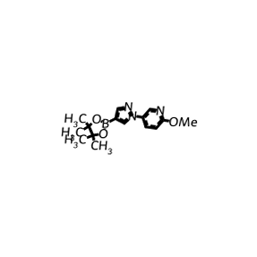 COc1ccc(-n2cc(B3OC(C)(C)C(C)(C)O3)cn2)cn1